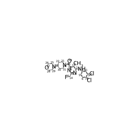 Cc1c(Nc2ccc(Cl)c(Cl)c2)nc(CF)nc1C(=O)N1CCC(N2CCOCC2)CC1